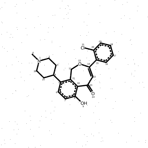 CN1CCC(c2ccc(O)c3c2COC(c2ccccc2Cl)=CC3=O)CC1